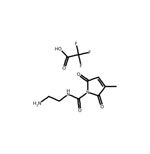 CC1=CC(=O)N(C(=O)NCCN)C1=O.O=C(O)C(F)(F)F